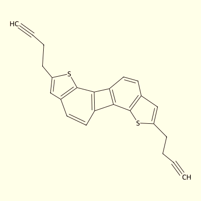 C#CCCc1cc2ccc3c(c2s1)-c1ccc2cc(CCC#C)sc2c1-3